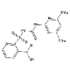 CCC[S+]([O-])c1cccnc1S(=O)(=O)NC(=O)Nc1nc(OC)cc(OC)n1